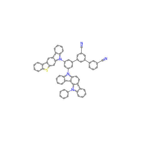 N#Cc1cccc(-c2cc(C#N)cc(-c3cc(-n4c5ccccc5c5cc6c(cc54)sc4ccccc46)cc(-n4c5ccccc5c5c4ccc4c6ccccc6n(-c6ccccc6)c45)c3)c2)c1